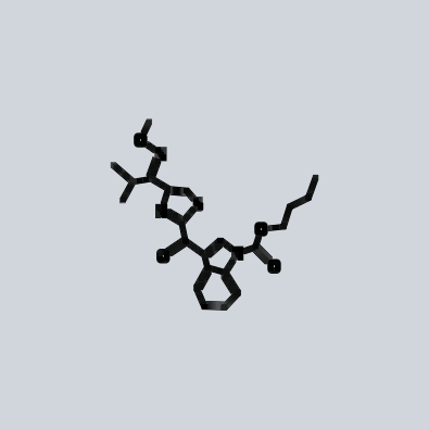 CCCCOC(=O)n1cc(C(=O)c2nc(/C(=N/OC)C(C)C)cs2)c2ccccc21